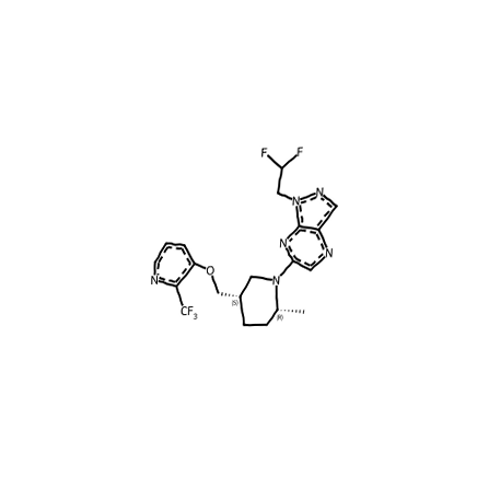 C[C@@H]1CC[C@H](COc2cccnc2C(F)(F)F)CN1c1cnc2cnn(CC(F)F)c2n1